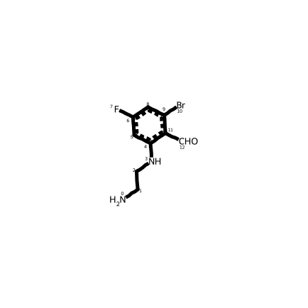 NCCNc1cc(F)cc(Br)c1C=O